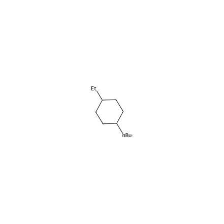 CCC[CH]C1CCC(CC)CC1